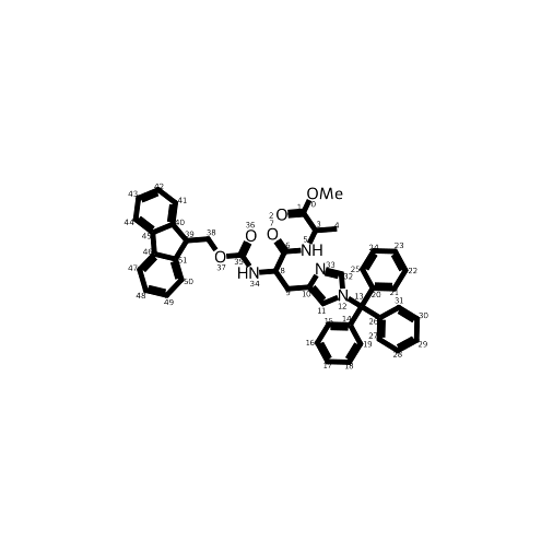 COC(=O)C(C)NC(=O)C(Cc1cn(C(c2ccccc2)(c2ccccc2)c2ccccc2)cn1)NC(=O)OCC1c2ccccc2-c2ccccc21